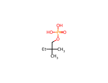 C[CH]C(C)(C)COP(=O)(O)O